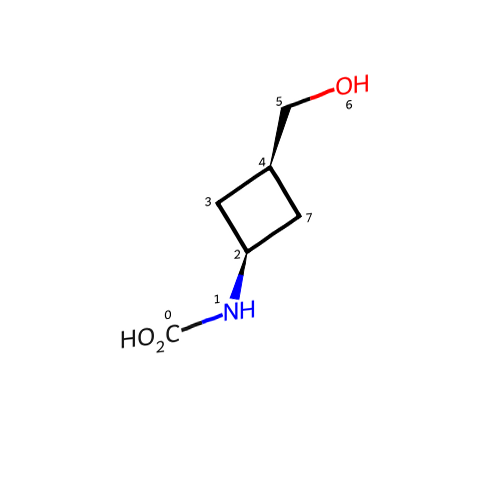 O=C(O)N[C@H]1C[C@@H](CO)C1